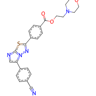 N#Cc1ccc(-c2cnc3sc(-c4ccc(C(=O)OCCN5CCOCC5)cc4)nn23)cc1